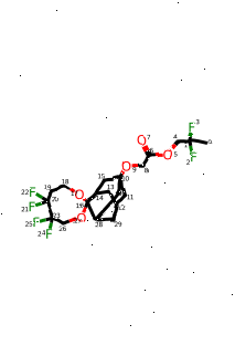 CC(F)(F)COC(=O)COC12CC3CC(C1)C1(OCCC(F)(F)C(F)(F)CO1)C(C3)C2